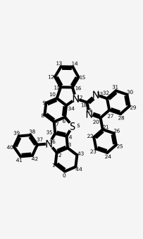 C1=Cc2c(c3sc4c(ccc5c6ccccc6n(-c6nc(-c7ccccc7)c7ccccc7n6)c54)c3n2-c2ccccc2)CC1